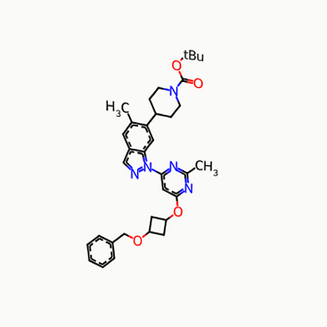 Cc1nc(OC2CC(OCc3ccccc3)C2)cc(-n2ncc3cc(C)c(C4CCN(C(=O)OC(C)(C)C)CC4)cc32)n1